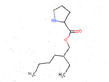 CCCCC(CC)COC(=O)C1CCCN1